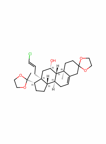 CC1([C@H]2CC[C@H]3[C@@H]4CC=C5CC6(CC[C@]5(C)[C@H]4[C@@H](O)C[C@]23CC=CCl)OCCO6)OCCO1